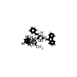 CC(C)C[C@H](NC(=O)[C@H](CCc1ccccc1)NC(=O)OCC1c2ccccc2-c2ccccc21)B1O[C@@H]2C[C@@H]3C[C@@H](C3(C)C)[C@]2(C)O1